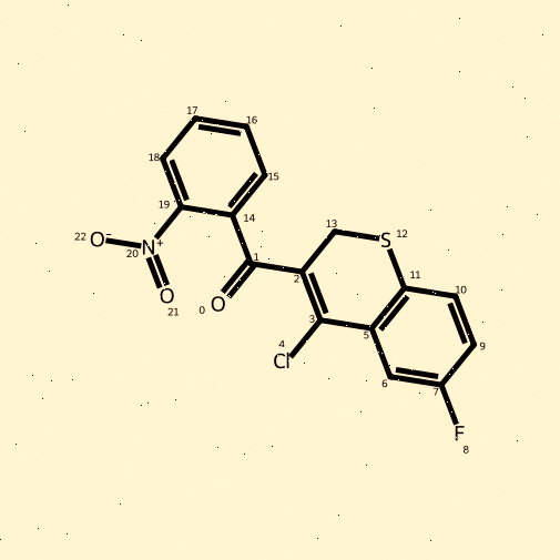 O=C(C1=C(Cl)c2cc(F)ccc2SC1)c1ccccc1[N+](=O)[O-]